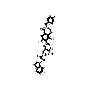 O=C(NCC(NC(=O)c1c(Cl)cc2c(c1Cl)CCN(Cc1ccc(Cl)cc1)C2=O)C(=O)O)N[C@@H]1CCc2ccccc21